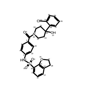 O=C(c1ccc(NS(=O)(=O)c2cccc3c2OCC3)cc1)N1CCC(O)(c2ccccc2Cl)CC1